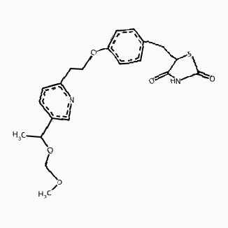 COCOC(C)c1ccc(CCOc2ccc(CC3SC(=O)NC3=O)cc2)nc1